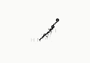 NCCCC[C@H](N)C(=O)NCCCC(=O)ONC(=O)Cc1ccc(CCCCc2ccccc2)cc1